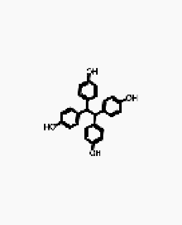 Oc1ccc(C(c2ccc(O)cc2)C(c2ccc(O)cc2)c2ccc(O)cc2)cc1